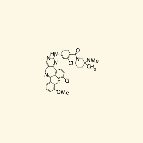 CNC1(C)CCCN(C(=O)c2ccc(Nc3ncc4c(n3)-c3ccc(Cl)cc3C(c3cccc(OC)c3F)=NC4)cc2Cl)C1